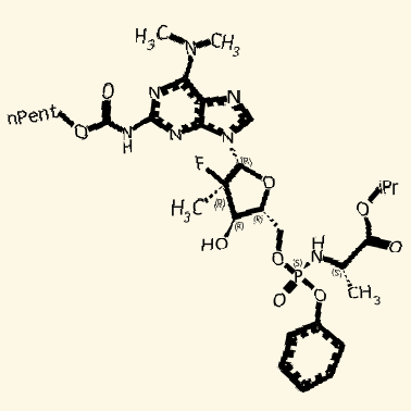 CCCCCOC(=O)Nc1nc(N(C)C)c2ncn([C@@H]3O[C@H](CO[P@@](=O)(N[C@@H](C)C(=O)OC(C)C)Oc4ccccc4)[C@@H](O)[C@@]3(C)F)c2n1